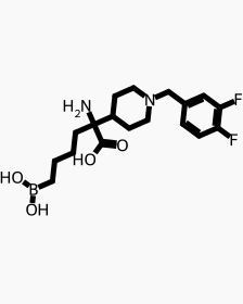 NC(CCCCB(O)O)(C(=O)O)C1CCN(Cc2ccc(F)c(F)c2)CC1